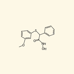 COc1cccc(SC(C(=O)NO)c2ccccc2)c1